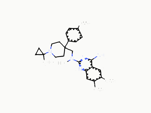 COc1ccc(C2(CN(C)c3nc(N)c4cc(OC)c(OC)cc4n3)CCN(C3(C=O)CC3)CC2)cc1